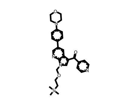 C[Si](C)(C)CCOCn1cc(C(=O)c2ccncc2)c2cc(-c3ccc(N4CCOCC4)cc3)cnc21